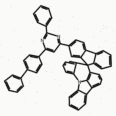 c1ccc(-c2ccc(-c3cc(-c4ccc5c(c4)C4(c6ccccc6-5)c5ccccc5-n5c6ccccc6c6cccc4c65)nc(-c4ccccc4)n3)cc2)cc1